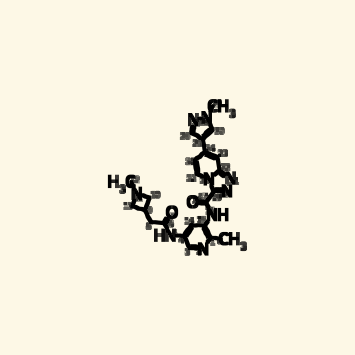 Cc1ncc(NC(=O)CC2CN(C)C2)cc1NC(=O)c1nnc2cc(-c3cnn(C)c3)ccn12